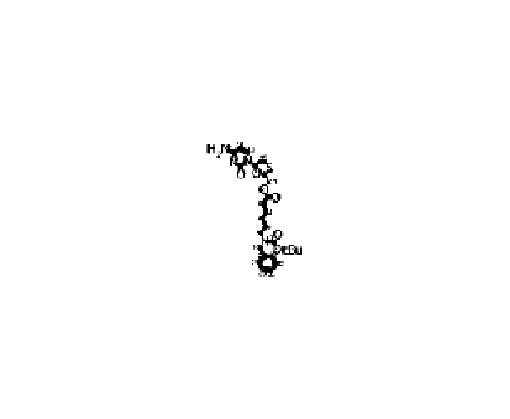 CC(C)(C)OC(=O)N(CCCCCC(=O)OC[C@H]1O[C@@H](n2ccc(N)nc2=O)CS1)Cc1ccccc1